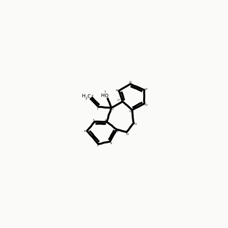 C=CC1(O)c2ccccc2CCc2ccccc21